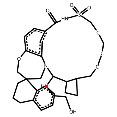 O=C1NS(=O)(=O)CCCCCCC2CCC2C(NCCO)N2CC3(CCCc4ccccc43)COc3ccc1cc32